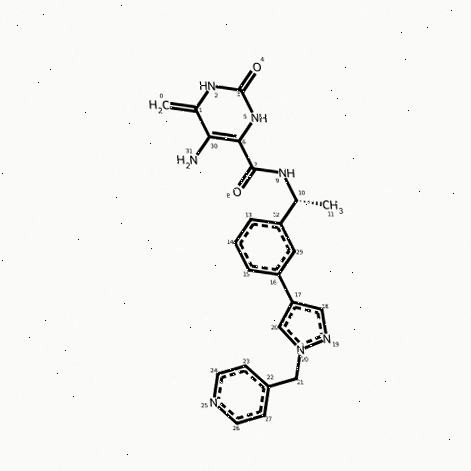 C=C1NC(=O)NC(C(=O)N[C@H](C)c2cccc(-c3cnn(Cc4ccncc4)c3)c2)=C1N